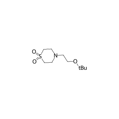 CC(C)(C)OCCN1CCS(=O)(=O)CC1